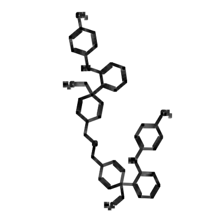 C=CC1(c2ccccc2Nc2ccc(C)cc2)C=CC(COCC2C=CC(C=C)(c3ccccc3Nc3ccc(C)cc3)C=C2)C=C1